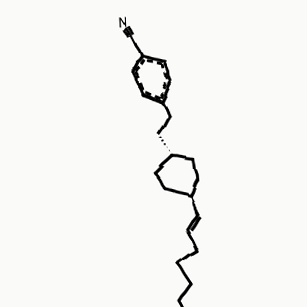 CCCCCC=C[C@H]1CC[C@H](CCc2ccc(C#N)cc2)CC1